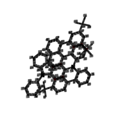 CC(C)(C)c1ccc(-c2ccccc2N(c2ccc3c(c2)c2ccccc2n3-c2ccccc2)c2ccccc2-c2cccc3cccc(-c4cc(C(C)(C)C)cc(C(C)(C)C)c4)c23)cc1